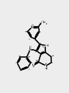 Cc1cc(-c2[nH]c3c(c2Nc2ccccc2)C(=O)NCC3)ccn1